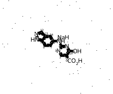 O=C(O)c1cnc(Nc2ccc3[nH]ncc3c2)nc1O.[NaH]